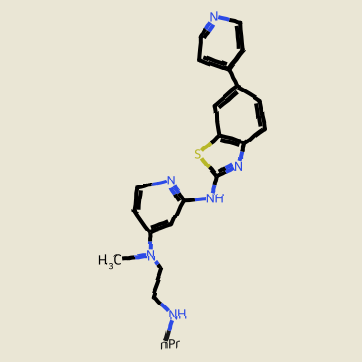 CCCNCCN(C)c1ccnc(Nc2nc3ccc(-c4ccncc4)cc3s2)c1